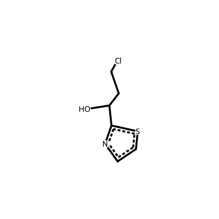 OC(CCCl)c1nccs1